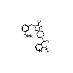 CCSc1ncccc1C(=O)N1CCC2(CC1)CN(Cc1cccc(OC)c1)C(=O)O2